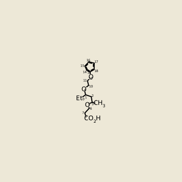 CCC(CC(C)OCCC(=O)O)OCCOc1ccccc1